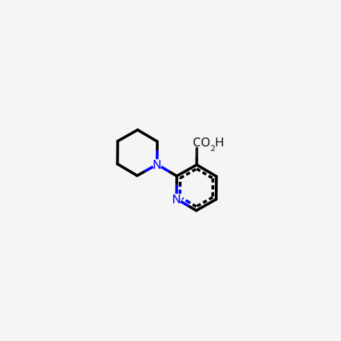 O=C(O)c1cccnc1N1CCCCC1